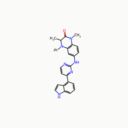 CC(C)N1c2cc(Nc3nccc(-c4cccc5[nH]ccc45)n3)ccc2N(C)C(=O)C1C